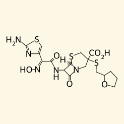 Nc1nc(C(=NO)C(=O)NC2C(=O)N3CC(SCC4CCCO4)(C(=O)O)CS[C@H]23)cs1